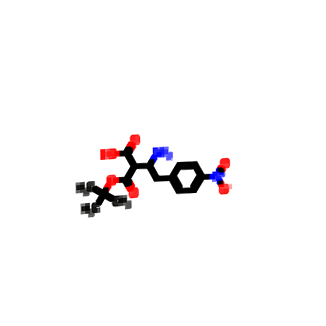 CC(C)(C)OC(=O)C(C(=O)O)C(N)Cc1ccc([N+](=O)[O-])cc1